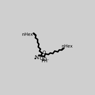 CCCCCC/C=C\CCCCCCCC(=O)C(C[N+](C)(C)C)(O[PH-])C(=O)CCCCCCC/C=C\CCCCCC